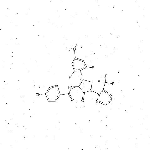 COc1cc(F)c([C@@H]2CN(c3ncccc3C(F)(F)F)C(=O)[C@H]2NC(=O)c2ccc(Cl)cc2)c(F)c1